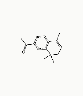 CC(=O)c1ccc2c(c1)C(C)(C)CC=C2C